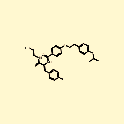 Cc1ccc(/C=C(\NC(=O)c2ccc(OCCc3ccc(OC(C)C)cc3)cc2)C(=O)NCCO)cc1